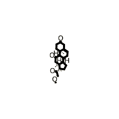 COCC(=O)[C@H]1CC[C@H]2[C@@H]3CC=C4CC(=O)CC[C@]4(C)[C@H]3C(=O)C[C@]12C